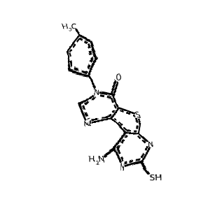 Cc1ccc(-n2cnc3c(sc4nc(S)nc(N)c43)c2=O)cc1